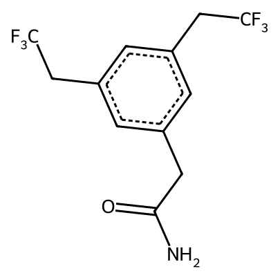 NC(=O)Cc1cc(CC(F)(F)F)cc(CC(F)(F)F)c1